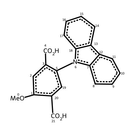 COc1cc(C(=O)O)c(-n2c3ccccc3c3ccccc32)cc1C(=O)O